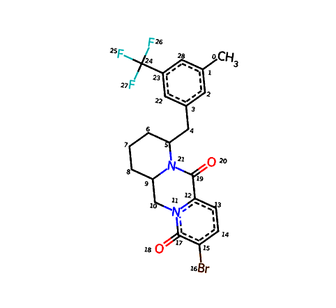 Cc1cc(CC2CCCC3Cn4c(ccc(Br)c4=O)C(=O)N23)cc(C(F)(F)F)c1